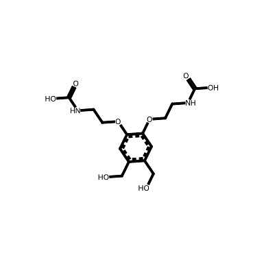 O=C(O)NCCOc1cc(CO)c(CO)cc1OCCNC(=O)O